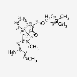 CC=C/C(N)=C\C1=C(C)CC2(C1)C(=O)N(COCC[Si](C)(C)C)c1ncccc12